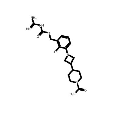 CC(=O)N1CCC(C2CN(c3cccc(COC(=O)NC(=N)N)c3F)C2)CC1